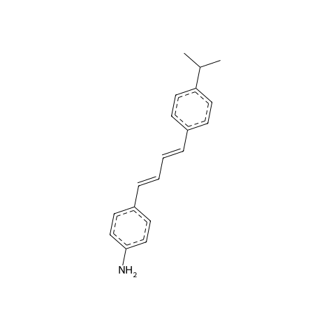 CC(C)c1ccc(/C=C/C=C/c2ccc(N)cc2)cc1